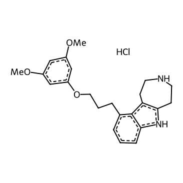 COc1cc(OC)cc(OCCCc2cccc3[nH]c4c(c23)CCNCC4)c1.Cl